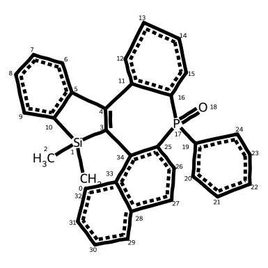 C[Si]1(C)C2=C(c3ccccc31)c1ccccc1P(=O)(c1ccccc1)c1ccc3ccccc3c12